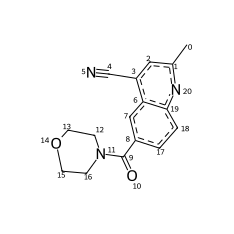 Cc1cc(C#N)c2cc(C(=O)N3CCOCC3)ccc2n1